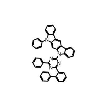 c1ccc(-c2nc(-c3ccccc3-c3ccccc3)nc(-n3c4ccccc4c4cc5c6ccccc6n(-c6ccccc6)c5cc43)n2)cc1